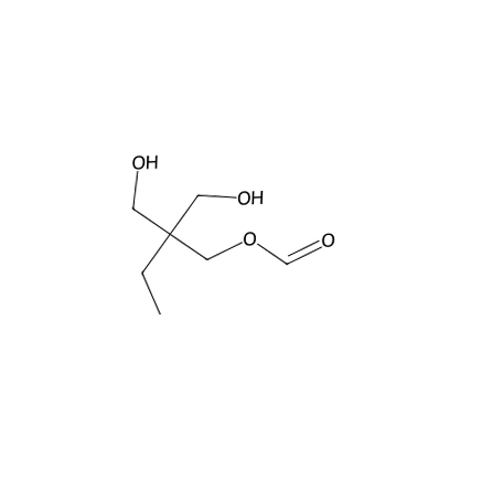 CCC(CO)(CO)COC=O